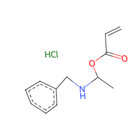 C=CC(=O)OC(C)NCc1ccccc1.Cl